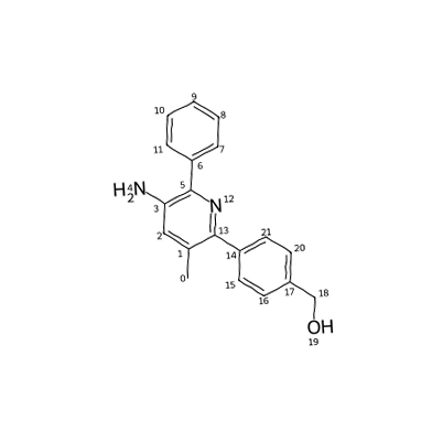 Cc1cc(N)c(-c2ccccc2)nc1-c1ccc(CO)cc1